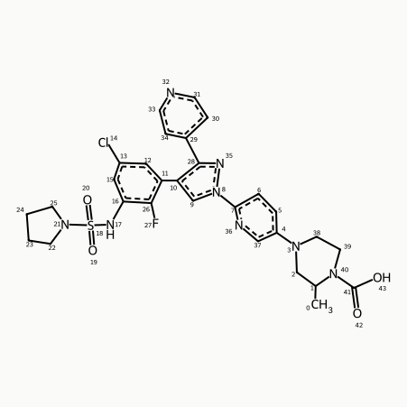 CC1CN(c2ccc(-n3cc(-c4cc(Cl)cc(NS(=O)(=O)N5CCCC5)c4F)c(-c4ccncc4)n3)nc2)CCN1C(=O)O